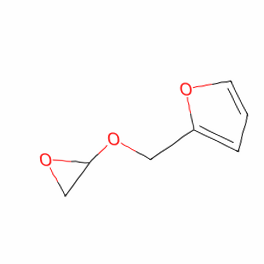 c1coc(COC2CO2)c1